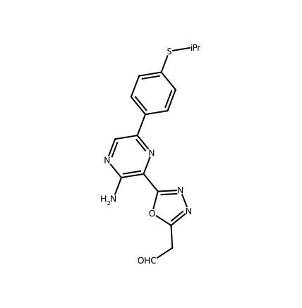 CC(C)Sc1ccc(-c2cnc(N)c(-c3nnc(CC=O)o3)n2)cc1